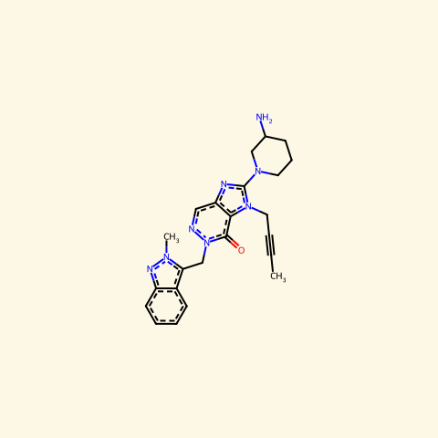 CC#CCn1c(N2CCCC(N)C2)nc2cnn(Cc3c4ccccc4nn3C)c(=O)c21